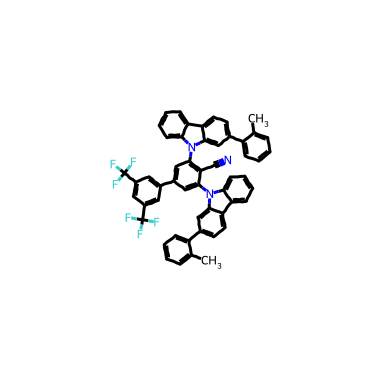 Cc1ccccc1-c1ccc2c3ccccc3n(-c3cc(-c4cc(C(F)(F)F)cc(C(F)(F)F)c4)cc(-n4c5ccccc5c5ccc(-c6ccccc6C)cc54)c3C#N)c2c1